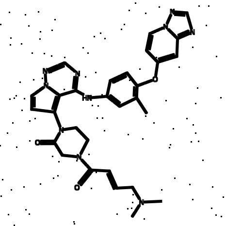 Cc1cc(Nc2ncnn3ccc(N4CCN(C(=O)C=CCN(C)C)CC4=O)c23)ccc1Oc1ccn2ncnc2c1